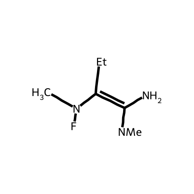 CC/C(=C(\N)NC)N(C)F